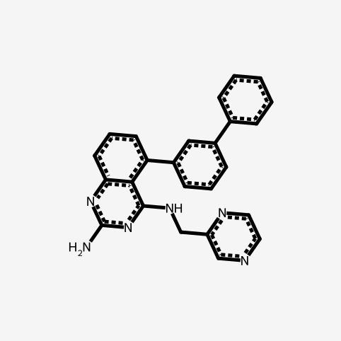 Nc1nc(NCc2cnccn2)c2c(-c3cccc(-c4ccccc4)c3)cccc2n1